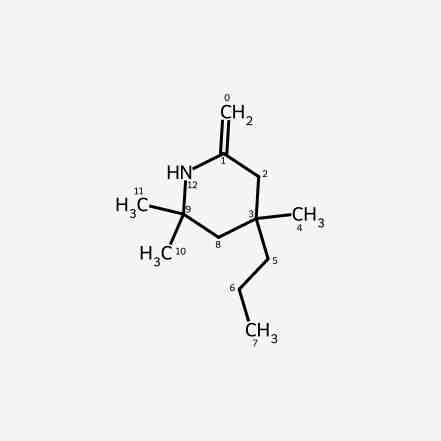 C=C1CC(C)(CCC)CC(C)(C)N1